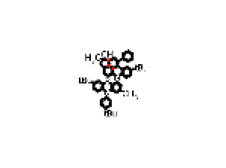 Cc1cc2c3c(c1)N(c1ccc(C(C)(C)C)cc1-c1ccccc1-c1ccccc1)c1cc4c(cc1B3c1cc(C(C)(C)C)ccc1N2c1ccc(C(C)(C)C)cc1)CC(C)(C)C4